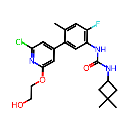 Cc1cc(F)c(NC(=O)NC2CC(C)(C)C2)cc1-c1cc(Cl)nc(OCCO)c1